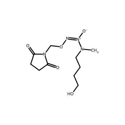 CN(CCCCO)/[N+]([O-])=N\OCN1C(=O)CCC1=O